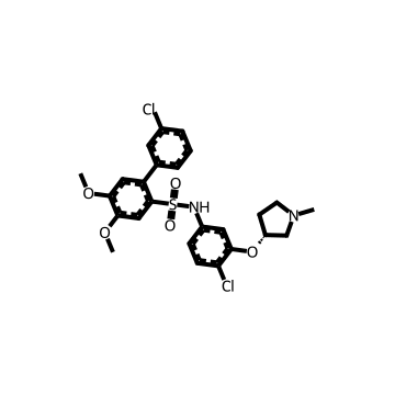 COc1cc(-c2cccc(Cl)c2)c(S(=O)(=O)Nc2ccc(Cl)c(O[C@@H]3CCN(C)C3)c2)cc1OC